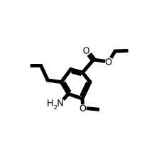 CCCc1cc(C(=O)OCC)cc(OC)c1N